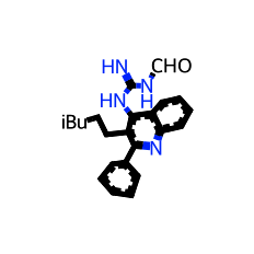 CCC(C)CCc1c(-c2ccccc2)nc2ccccc2c1NC(=N)NC=O